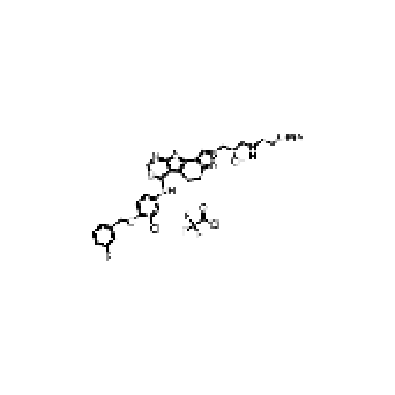 COCCNC[C@@H](O)Cn1cc2c(n1)CCc1c-2sc2ncnc(Nc3ccc(OCc4cccc(F)c4)c(Cl)c3)c12.O=C(O)C(F)(F)F